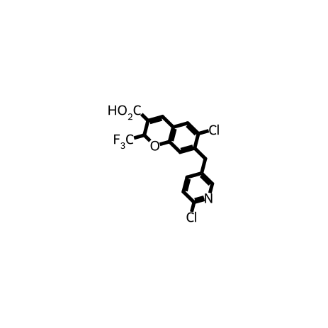 O=C(O)C1=Cc2cc(Cl)c(Cc3ccc(Cl)nc3)cc2OC1C(F)(F)F